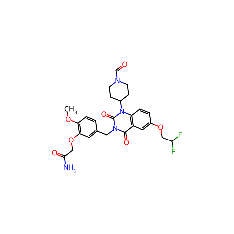 COc1ccc(Cn2c(=O)c3cc(OCC(F)F)ccc3n(C3CCN(C=O)CC3)c2=O)cc1OCC(N)=O